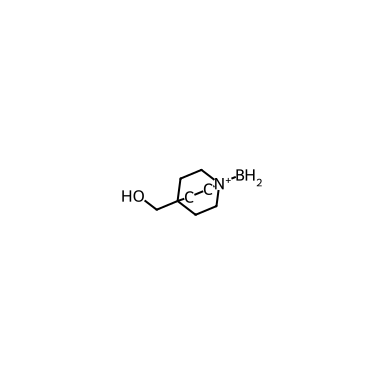 B[N+]12CCC(CO)(CC1)CC2